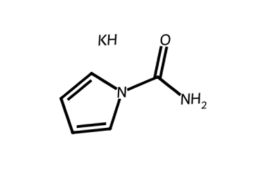 NC(=O)n1cccc1.[KH]